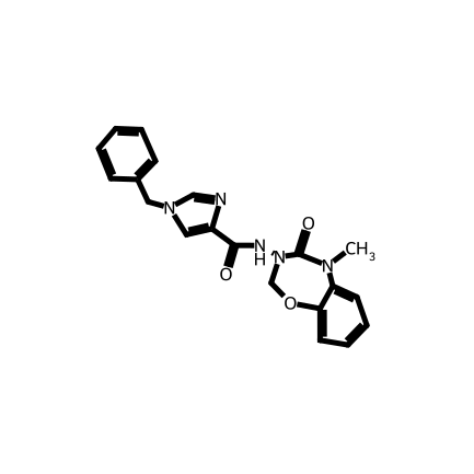 CN1C(=O)N(NC(=O)c2cn(Cc3ccccc3)cn2)COc2ccccc21